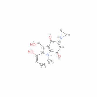 C/C=C(/O)c1c(CO)c2c(n1C)C(=O)C=C(N1CC1)C2=O